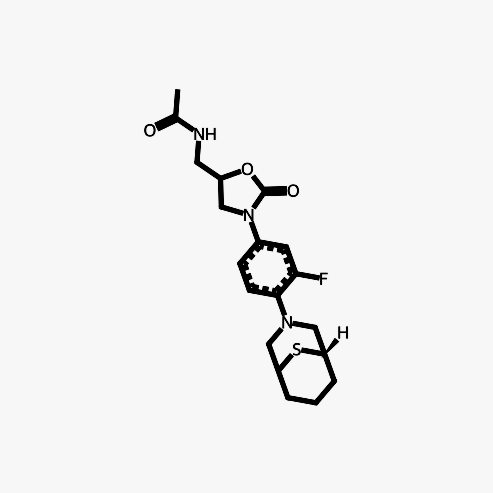 CC(=O)NCC1CN(c2ccc(N3CC4CCC[C@@H](C3)S4)c(F)c2)C(=O)O1